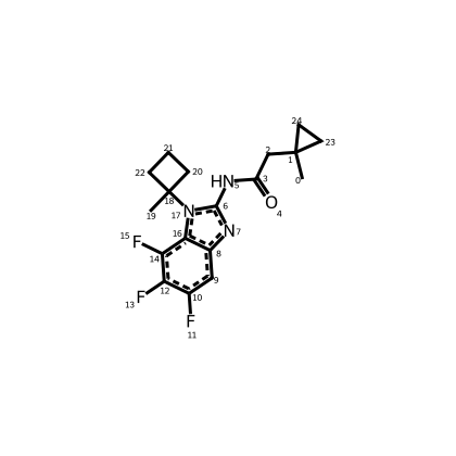 CC1(CC(=O)Nc2nc3cc(F)c(F)c(F)c3n2C2(C)CCC2)CC1